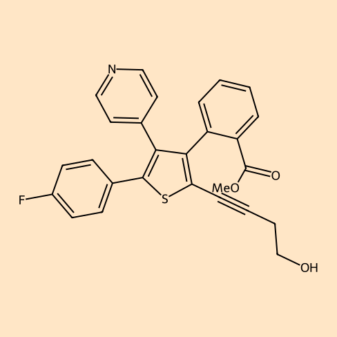 COC(=O)c1ccccc1-c1c(C#CCCO)sc(-c2ccc(F)cc2)c1-c1ccncc1